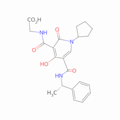 C[C@H](NC(=O)c1cn(C2CCCC2)c(=O)c(C(=O)NCC(=O)O)c1O)c1ccccc1